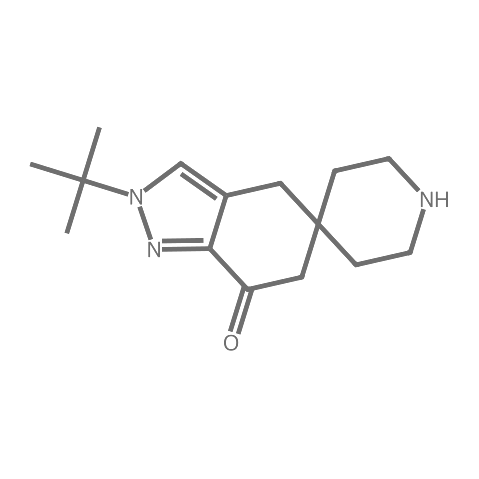 CC(C)(C)n1cc2c(n1)C(=O)CC1(CCNCC1)C2